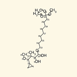 COC(C1CC1)C(C)C(O)C(O)OCCCCCCCCCC(OC)(OC)OC